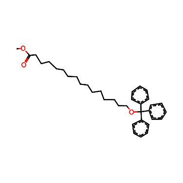 COC(=O)CCCCCCCCCCCCCCCOC(c1ccccc1)(c1ccccc1)c1ccccc1